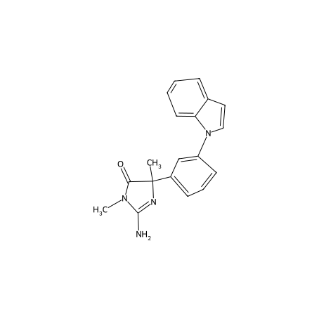 CN1C(=O)C(C)(c2cccc(-n3ccc4ccccc43)c2)N=C1N